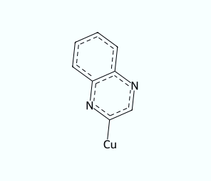 [Cu][c]1cnc2ccccc2n1